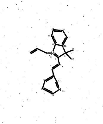 C=CC[N+]1=C(C=Cc2cccnc2)C(C)(C)c2ccccc21